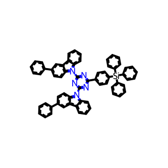 c1ccc(-c2ccc3c(c2)c2ccccc2n3-c2nc(-c3ccc([Si](c4ccccc4)(c4ccccc4)c4ccccc4)cc3)nc(-n3c4ccccc4c4cc(-c5ccccc5)ccc43)n2)cc1